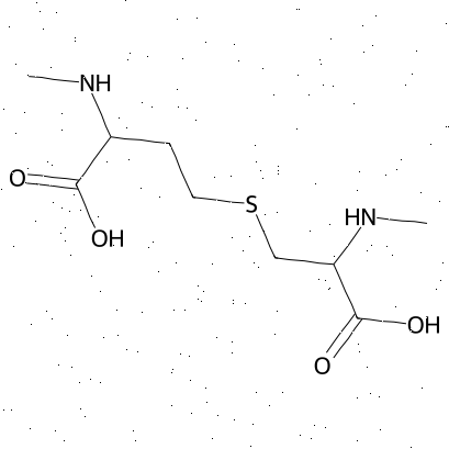 CNC(CCSCC(NC)C(=O)O)C(=O)O